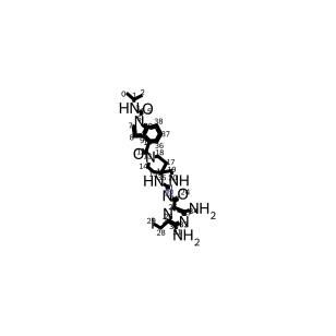 CC(C)NC(=O)n1ccc2c(C(=O)N3CCC4(CC3)CN/C(=N\C(=O)c3nc(CI)c(N)nc3N)N4)cccc21